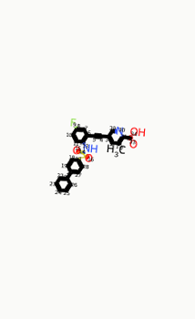 Cc1cc(C#Cc2cc(F)ccc2NS(=O)(=O)c2ccc(-c3ccccc3)cc2)cnc1C(=O)O